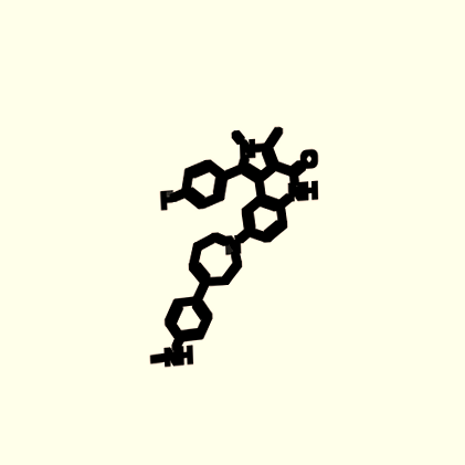 CNc1ccc(C2=CCCN(c3ccc4[nH]c(=O)c5c(C)n(C)c(-c6ccc(F)cc6)c5c4c3)CC2)cc1